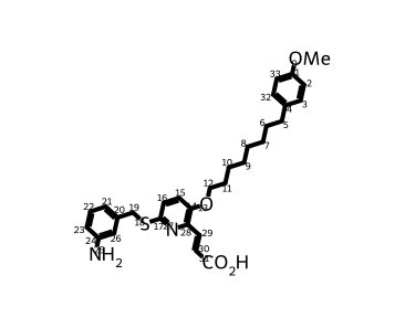 COc1ccc(CCCCCCCCOc2ccc(SCc3cccc(N)c3)nc2C=CC(=O)O)cc1